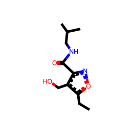 CCc1onc(C(=O)NCC(C)C)c1CO